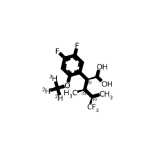 [2H]C([2H])([2H])Oc1cc(F)c(F)cc1[C@@H](C(O)O)[C@H](C)[C@@H](C)C(F)(F)F